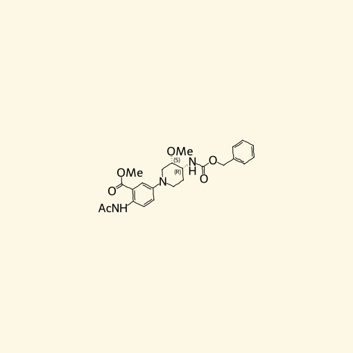 COC(=O)c1cc(N2CC[C@@H](NC(=O)OCc3ccccc3)[C@@H](OC)C2)ccc1NC(C)=O